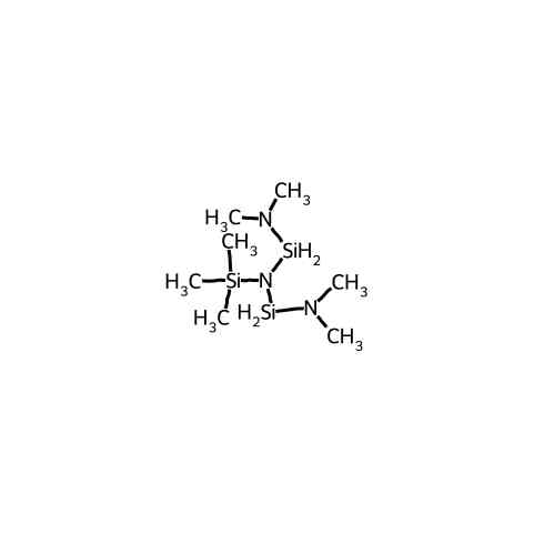 CN(C)[SiH2]N([SiH2]N(C)C)[Si](C)(C)C